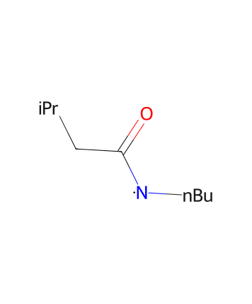 CCCC[N]C(=O)CC(C)C